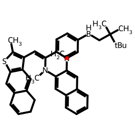 C=Nc1cc2ccccc2cc1N(C)/C(=C\c1c(C)sc2cc3c(cc12)CCC=C3)c1ccc(BCC(C)(C)C(C)(C)C)cc1